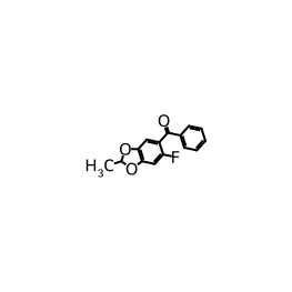 CC1Oc2cc(F)c(C(=O)c3ccccc3)cc2O1